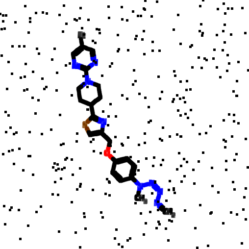 C=N/N=N\N(C)c1ccc(OCc2csc(C3CCN(c4ncc(CC)cn4)CC3)n2)cc1